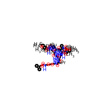 CC(=O)NC(C(=O)N[C@@H](Cc1ccc(OC(C)(C)C)cc1)C(=O)N[C@@H](CCCNC(=N)NS(=O)(=O)c1c(C)c(C)c2c(c1C)CCC(C)(C)O2)C(=O)NCC(=O)N[C@@H](CCCNC(=N)NS(=O)(=O)c1c(C)c(C)c2c(c1C)CCC(C)(C)O2)C(=O)N[C@@H](CC(C)C)C(=O)NCCOCCOCCNC(=O)OCC1c2ccccc2-c2ccccc21)c1cn(C(=O)OC(C)(C)C)c2ccccc12